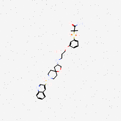 CC(C)(C(N)=O)S(=O)(=O)c1cccc(OC[C@@H](O)CN[C@H]2COC3(CCN(S(=O)(=O)c4cnc5ccccc5c4)CC3)C2)c1